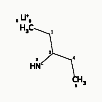 CCC([NH-])CC.[Li+]